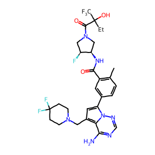 CCC(O)(C(=O)N1C[C@H](F)[C@H](NC(=O)c2cc(-c3cc(CN4CCC(F)(F)CC4)c4c(N)ncnn34)ccc2C)C1)C(F)(F)F